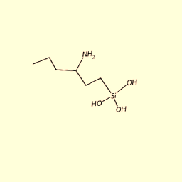 CCCC(N)CC[Si](O)(O)O